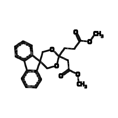 COC(=O)CCC1(CC(=O)OC)OCC2(CO1)c1ccccc1-c1ccccc12